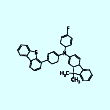 CC1(C)c2ccccc2C2C=CC(N(C3=CC=C(c4cccc5c4sc4ccccc45)CC3)C3C=CC(F)=CC3)=CC21